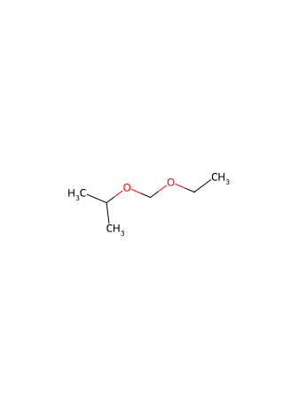 CCOCOC(C)C